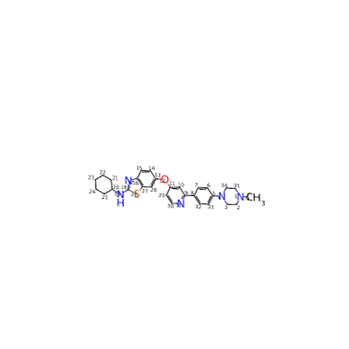 CN1CCN(c2ccc(-c3cc(Oc4ccc5nc(NC6CCCCC6)sc5c4)ccn3)cc2)CC1